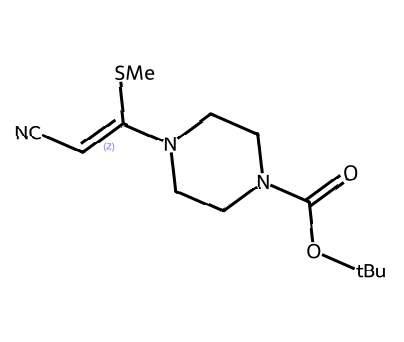 CS/C(=C\C#N)N1CCN(C(=O)OC(C)(C)C)CC1